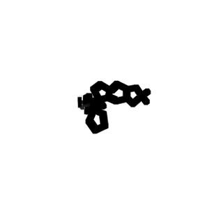 CC1(C)Cc2cc3c(cc2C1)[C](C)([Hf]([CH3])([CH3])([CH3])([CH3])([CH3])([CH3])[CH]1C=CC=C1)C=C3